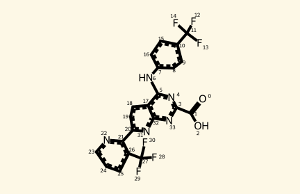 O=C(O)c1nc(Nc2ccc(C(F)(F)F)cc2)c2ccc(-c3ncccc3C(F)(F)F)nc2n1